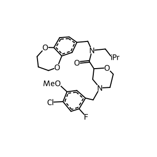 COc1cc(CN2CCOC(C(=O)N(Cc3ccc4c(c3)OCCCO4)CC(C)C)C2)c(F)cc1Cl